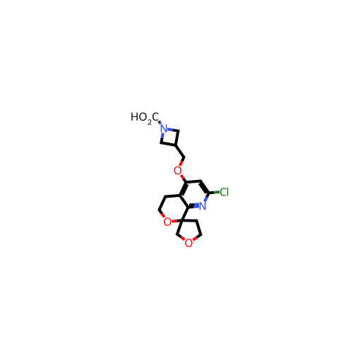 O=C(O)N1CC(COc2cc(Cl)nc3c2CCOC32CCOC2)C1